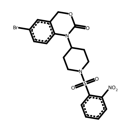 O=C1OCc2cc(Br)ccc2N1C1CCN(S(=O)(=O)c2ccccc2[N+](=O)[O-])CC1